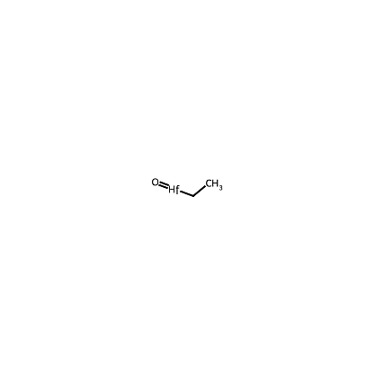 C[CH2][Hf]=[O]